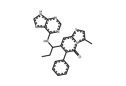 CCC(Nc1ncnc2[nH]cnc12)c1cc2scc(C)n2c(=O)c1-c1ccccc1